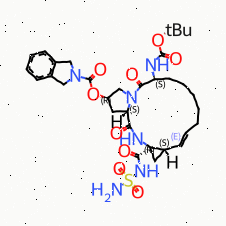 CC(C)(C)OC(=O)N[C@H]1CCCCC/C=C/[C@@H]2C[C@@]2(C(=O)NS(N)(=O)=O)NC(=O)[C@@H]2C[C@@H](OC(=O)N3Cc4ccccc4C3)CN2C1=O